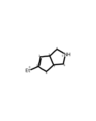 CCC1=CC2CNCC2C1